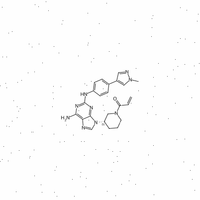 C=CC(=O)N1CCC[C@H](n2cnc3c(N)nc(Nc4ccc(-c5cnn(C)c5)cc4)nc32)C1